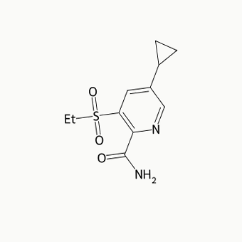 CCS(=O)(=O)c1cc(C2CC2)cnc1C(N)=O